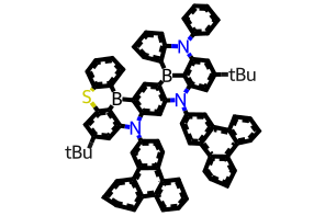 CC(C)(C)c1cc2c3c(c1)N(c1ccc4c5ccccc5c5ccccc5c4c1)c1cc4c(cc1B3c1ccccc1S2)B1c2ccccc2N(c2ccccc2)c2cc(C(C)(C)C)cc(c21)N4c1ccc2c3ccccc3c3ccccc3c2c1